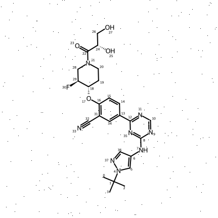 CC(C)(C)n1cc(Nc2ncnc(-c3ccc(O[C@H]4CCN(C(=O)[C@@H](O)CO)C[C@@H]4F)c(C#N)c3)n2)cn1